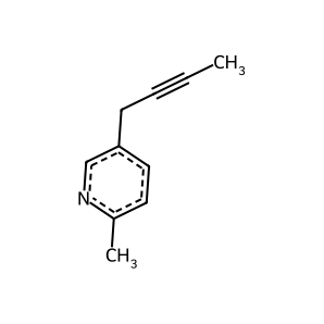 CC#CCc1ccc(C)nc1